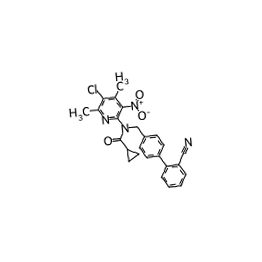 Cc1nc(N(Cc2ccc(-c3ccccc3C#N)cc2)C(=O)C2CC2)c([N+](=O)[O-])c(C)c1Cl